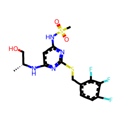 C[C@H](CO)Nc1cc(NS(C)(=O)=O)nc(SCc2ccc(F)c(F)c2F)n1